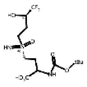 CC(C)(C)OC(=O)NC(CC[S@@](=N)(=O)CC[C@@H](O)C(F)(F)F)C(=O)O